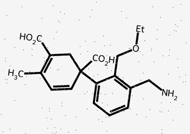 CCOCc1c(CN)cccc1C1(C(=O)O)C=CC(C)=C(C(=O)O)C1